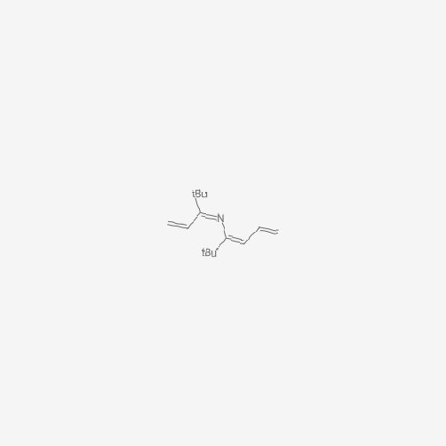 C=C/C=C(\N=C(/C=C)C(C)(C)C)C(C)(C)C